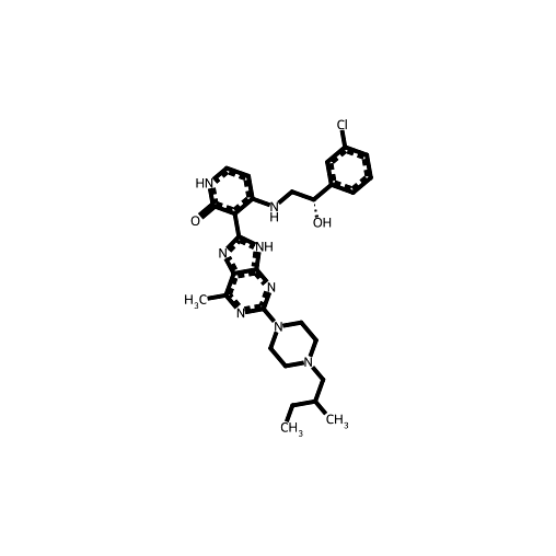 CCC(C)CN1CCN(c2nc(C)c3nc(-c4c(NC[C@@H](O)c5cccc(Cl)c5)cc[nH]c4=O)[nH]c3n2)CC1